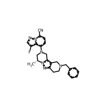 C[C@@H]1CN(c2ccc(C#N)n3ncc(F)c23)Cc2c3c(nn21)CCN(Cc1ccccc1)C3